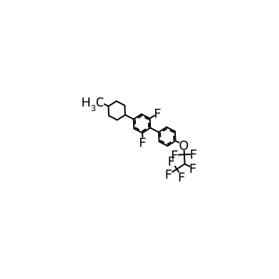 CC1CCC(c2cc(F)c(-c3ccc(OC(F)(F)C(F)C(F)(F)F)cc3)c(F)c2)CC1